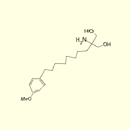 COc1ccc(CCCCCCCCC(N)(CO)CO)cc1